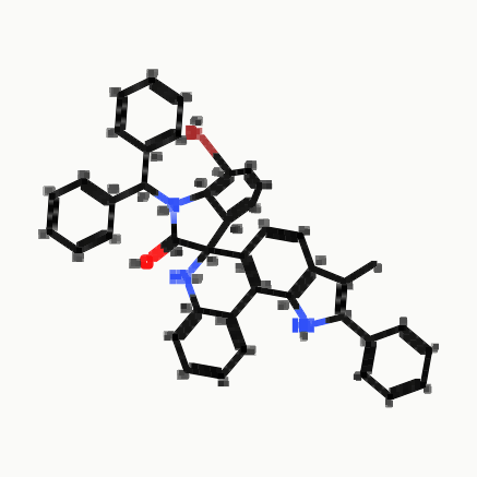 Cc1c(-c2ccccc2)[nH]c2c3c(ccc12)C1(Nc2ccccc2-3)C(=O)N(C(c2ccccc2)c2ccccc2)c2c(Br)cccc21